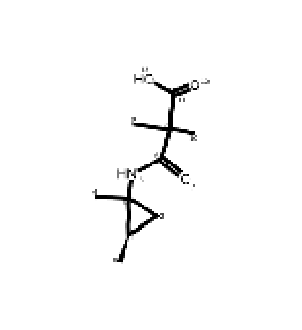 C[C@@H]1CC1(C)NC(=O)C(C)(C)C(=O)O